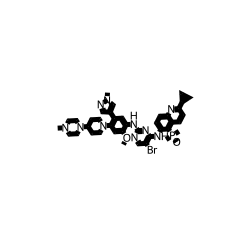 COc1cc(N2CCC(N3CCN(C)CC3)CC2)c(-c2cnn(C)c2)cc1Nc1ncc(Br)c(Nc2ccc3nc(C4CC4)ccc3c2P(C)(C)=O)n1